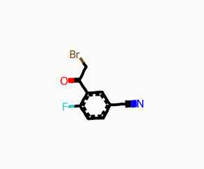 N#Cc1ccc(F)c(C(=O)CBr)c1